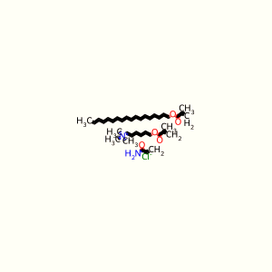 C=C(C)C(=O)OCCCCCCCCCCCCCCCCCC.C=C(C)C(=O)OCCCCCC[N+](C)(C)C.C=CC(N)=O.[Cl-]